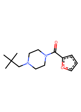 CC(C)(C)CN1CCN(C(=O)c2ccco2)CC1